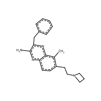 Cc1c(CCN2CCC2)ccc2nc(N)c(Cc3ccccc3)nc12